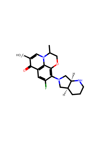 CC1COc2c(N3C[C@@H]4CCCN[C@@H]4C3)c(F)cc3c(=O)c(C(=O)O)cn1c23